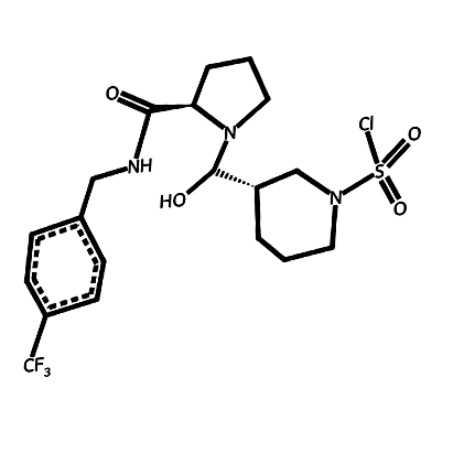 O=C(NCc1ccc(C(F)(F)F)cc1)[C@H]1CCCN1C(O)[C@H]1CCCN(S(=O)(=O)Cl)C1